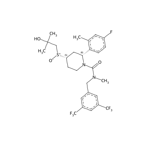 Cc1cc(F)ccc1[C@H]1C[C@@H]([S+]([O-])CC(C)(C)O)CCN1C(=O)N(C)Cc1cc(C(F)(F)F)cc(C(F)(F)F)c1